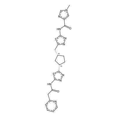 Cn1cnc(C(=O)Nc2nnc(C[C@@H]3CC[C@H](c4nnc(NC(=O)Cc5ccccn5)s4)C3)s2)c1